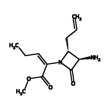 C=CC[C@@H]1[C@@H](N)C(=O)N1C(=CCC)C(=O)OC